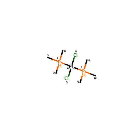 C[PH](C)(C)[Pt]([Cl])([Cl])[PH](C)(C)C